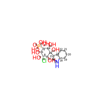 O=P(O)(O)[C@]1(O)[C@H](O)[C@](O)(Cl)[C@H](O)[C@](O)(c2c[nH]c3ccccc23)[C@H]1O